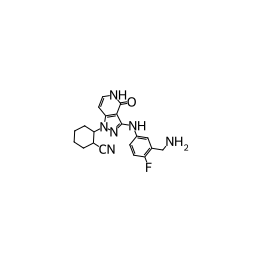 N#CC1CCCCC1n1nc(Nc2ccc(F)c(CN)c2)c2c(=O)[nH]ccc21